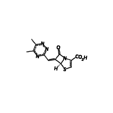 Cc1nnc(C=C2C(=O)N3C(C(=O)O)=CS[C@@H]23)nc1C